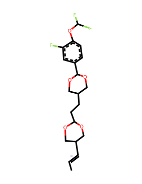 C/C=C/C1COC(CCC2COC(c3ccc(OC(F)F)c(F)c3)OC2)OC1